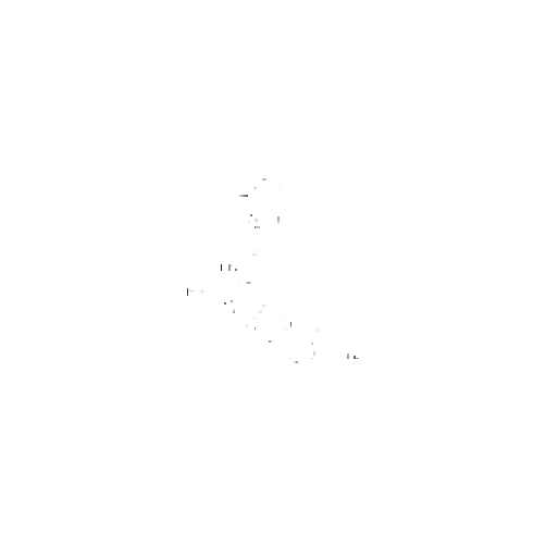 COc1ccc2cc(/C=C(/C)C(=O)NCCN(O)C(N)=O)ccc2c1